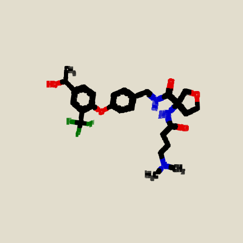 CC(O)c1ccc(Oc2ccc(CNC(=O)C3(NC(=O)CCCN(C)C)CCOC3)cc2)c(C(F)(F)F)c1